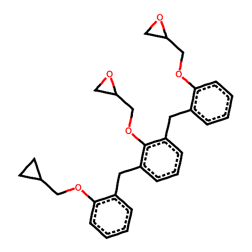 c1ccc(OCC2CC2)c(Cc2cccc(Cc3ccccc3OCC3CO3)c2OCC2CO2)c1